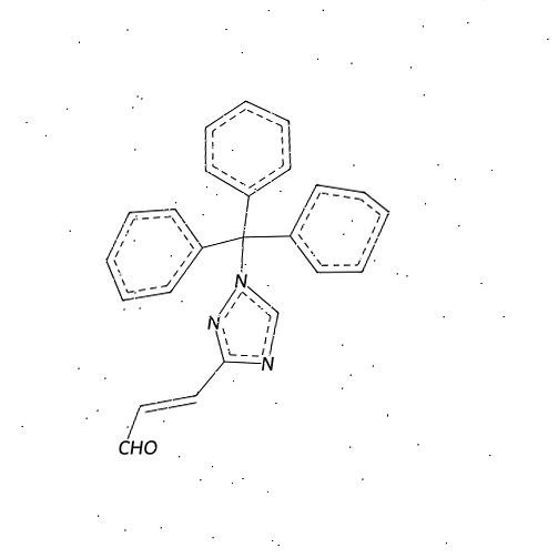 O=CC=Cc1ncn(C(c2ccccc2)(c2ccccc2)c2ccccc2)n1